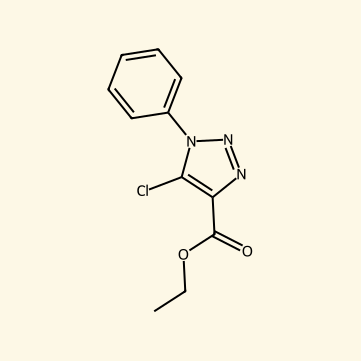 CCOC(=O)c1nnn(-c2ccccc2)c1Cl